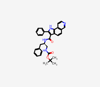 CC(C)(C)OC(=O)NC[C@@H](Cc1ccccc1)NC(=O)c1c(-c2ccccc2)[nH]c2c1ccc1cnccc12